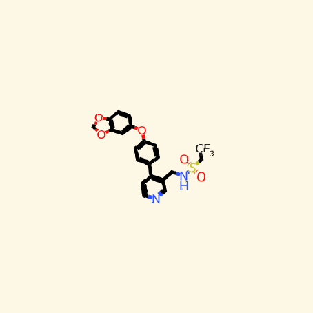 O=S(=O)(CC(F)(F)F)NCc1cnccc1-c1ccc(Oc2ccc3c(c2)OCO3)cc1